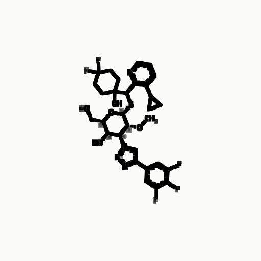 CO[C@@H]1[C@@H](n2cc(-c3cc(F)c(F)c(F)c3)nn2)[C@@H](O)[C@@H](CO)O[C@H]1SC(c1ncccc1C1CC1)C1(O)CCC(F)(F)CC1